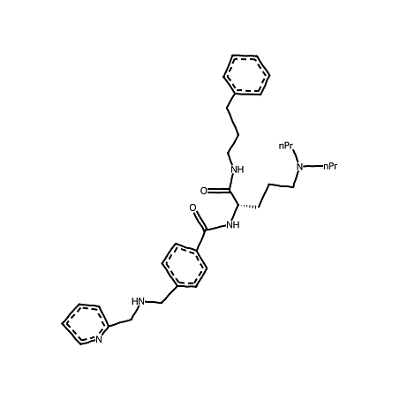 CCCN(CCC)CCC[C@H](NC(=O)c1ccc(CNCc2ccccn2)cc1)C(=O)NCCCc1ccccc1